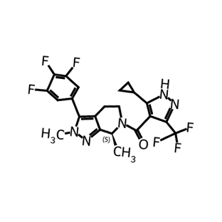 C[C@H]1c2nn(C)c(-c3cc(F)c(F)c(F)c3)c2CCN1C(=O)c1c(C(F)(F)F)n[nH]c1C1CC1